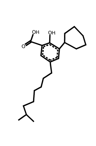 CC(C)CCCCCCc1cc(C(=O)O)c(O)c(C2CCCCC2)c1